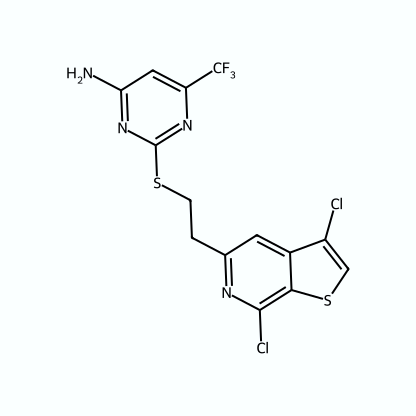 Nc1cc(C(F)(F)F)nc(SCCc2cc3c(Cl)csc3c(Cl)n2)n1